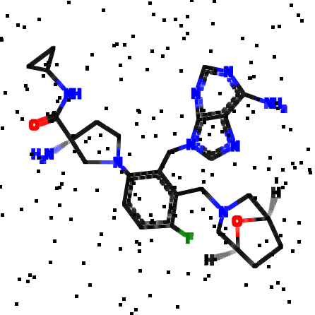 Nc1ncnc2c1ncn2Cc1c(N2CC[C@](N)(C(=O)NC3CC3)C2)ccc(F)c1CN1C[C@H]2CC[C@@H](C1)O2